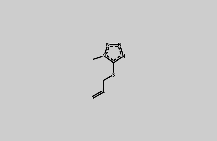 C=[C]CSc1nnnn1C